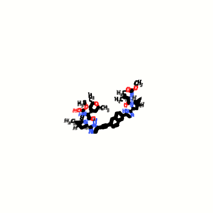 COC(=O)N[C@H](C(=O)N1[C@@H]2C[C@@H]2C[C@H]1c1ncc(-c2ccc3cc(C#Cc4cnc([C@@H]5C[C@H]6[C@@H](C)[C@H]6N5C(=O)C(NC(O)OC)[C@H]5C[C@@H](C)O[C@@H](C)C5)[nH]4)ccc3c2)[nH]1)C(C)C